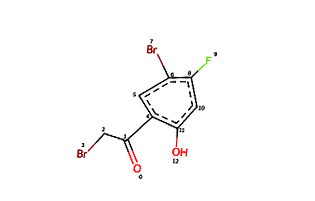 O=C(CBr)c1cc(Br)c(F)cc1O